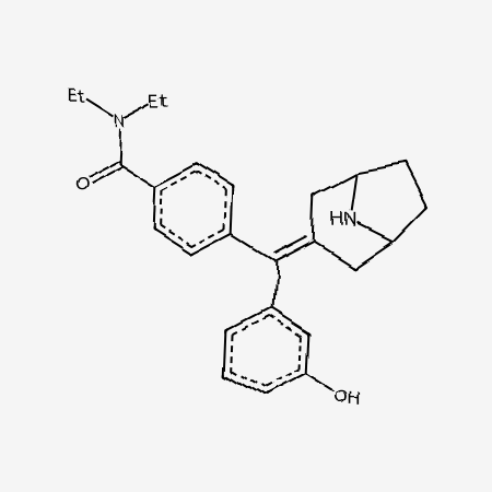 CCN(CC)C(=O)c1ccc(C(=C2CC3CCC(C2)N3)c2cccc(O)c2)cc1